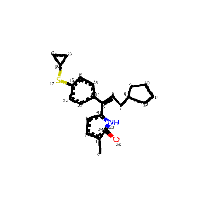 Cc1ccc(/C(=C\CC2CCCC2)c2ccc(SC3CC3)cc2)[nH]c1=O